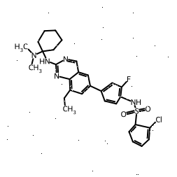 CCc1cc(-c2ccc(NS(=O)(=O)c3ccccc3Cl)c(F)c2)cc2cnc(NC3(N(C)C)CCCCC3)nc12